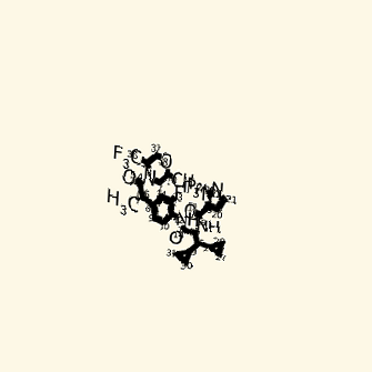 CC1CN(C(=O)[C@@H](C)c2ccc(NC(=O)[C@@H](NC(=O)c3ccnn3C(C)C)C(C3CC3)C3CC3)c(F)c2)C(C(F)(F)F)CO1